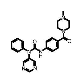 CN1CCN(C(=O)c2ccc(NC(=O)N(c3ccccc3)c3cncnc3)cc2)CC1